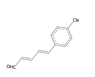 N#Cc1ccc(/C=C/C=C/C=O)cc1